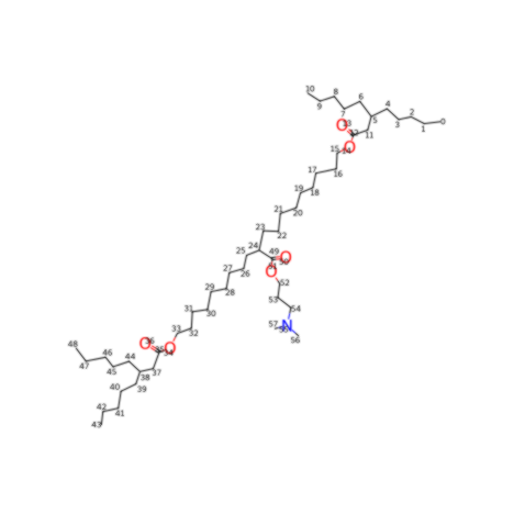 CCCCCC(CCCCC)CC(=O)OCCCCCCCCCC(CCCCCCCCCOC(=O)CC(CCCCC)CCCCC)C(=O)OCCCN(C)C